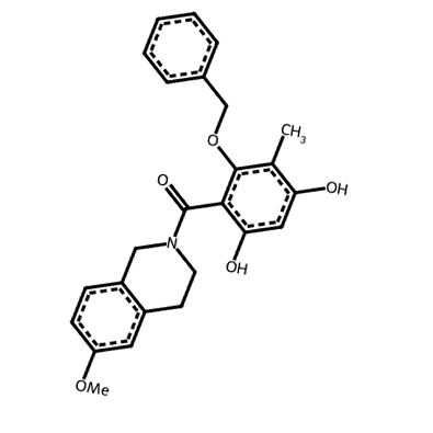 COc1ccc2c(c1)CCN(C(=O)c1c(O)cc(O)c(C)c1OCc1ccccc1)C2